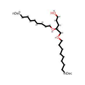 CCCCCCCCCCCCCCCCCCOCC(CCCO)OCCCCCCCCCCCCCCCCCC